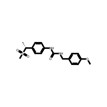 COc1ccc(CNC(=O)Nc2ccc([C@@H](C)S(C)(=O)=O)cc2)cc1